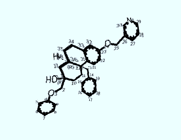 O[C@]1(COc2ccccc2)CC[C@@]2(Cc3ccccc3)c3ccc(OCc4cccnc4)cc3CC[C@@H]2C1